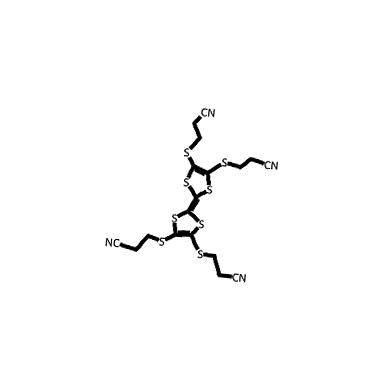 N#CCCSC1=C(SCCC#N)SC(=C2SC(SCCC#N)=C(SCCC#N)S2)S1